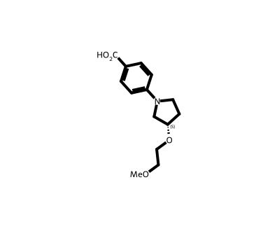 COCCO[C@H]1CCN(c2ccc(C(=O)O)cc2)C1